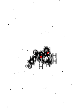 COc1ccc(CC(NC(=O)NCCc2c[nH]cn2)C(=O)N2CCC(CC(=O)O)(C3CCCCC3)CC2)cc1